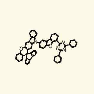 c1ccc(-c2nc(-c3ccccc3)nc(-c3cccc4c3oc3ccc(-n5c6ccccc6c6cc7c(cc65)C5(c6ccccc6O7)c6ccccc6-c6ccccc65)cc34)n2)cc1